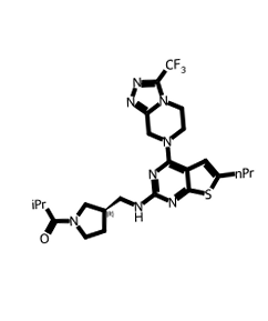 CCCc1cc2c(N3CCn4c(nnc4C(F)(F)F)C3)nc(NC[C@H]3CCN(C(=O)C(C)C)C3)nc2s1